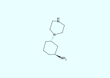 N[C@H]1CCC[C@H](N2CCNCC2)C1